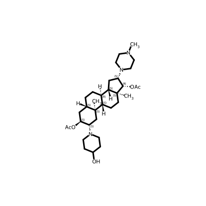 CC(=O)O[C@H]1C[C@@H]2CC[C@@H]3[C@H](CC[C@@]4(C)[C@H]3C[C@H](N3CCN(C)CC3)[C@@H]4OC(C)=O)[C@@]2(C)C[C@@H]1N1CCC(O)CC1